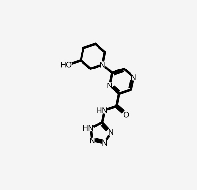 O=C(Nc1nnn[nH]1)c1cncc(N2CCCC(O)C2)n1